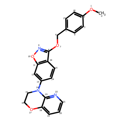 COc1ccc(COc2noc3cc(N4CCOc5cccnc54)ccc23)cc1